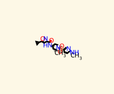 CNc1ccc(S(=O)(=O)N2CC[C@H](NC(=O)c3cc(C4CC4)on3)C[C@H]2C)cn1